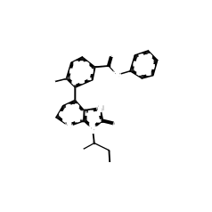 CCC(C)n1c(=O)[nH]c2c(-c3cc(C(=O)Nc4ccccc4)ccc3C)ccnc21